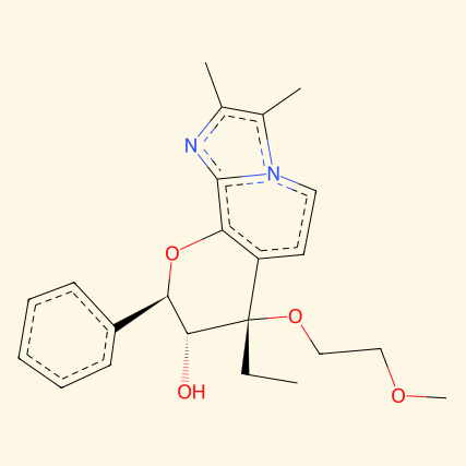 CC[C@]1(OCCOC)c2ccn3c(C)c(C)nc3c2O[C@H](c2ccccc2)[C@H]1O